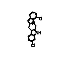 Clc1ccc2c3c([nH]c2c1)Cn1c(cc2cccc(Cl)c21)C3